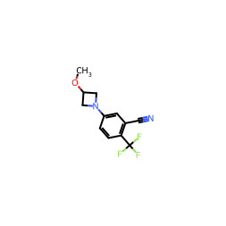 COC1CN(c2ccc(C(F)(F)F)c(C#N)c2)C1